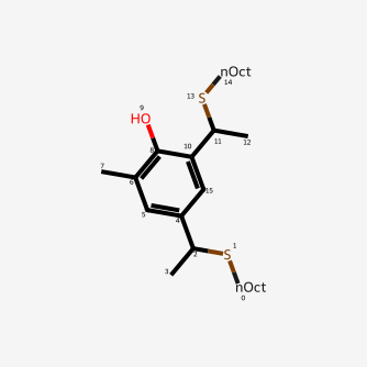 CCCCCCCCSC(C)c1cc(C)c(O)c(C(C)SCCCCCCCC)c1